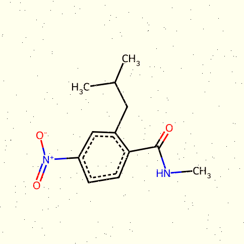 CNC(=O)c1ccc([N+](=O)[O-])cc1CC(C)C